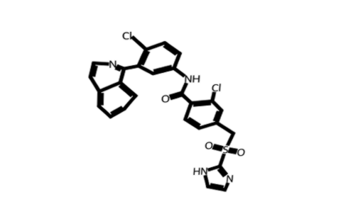 O=C(Nc1ccc(Cl)c(-c2nccc3ccccc23)c1)c1ccc(CS(=O)(=O)c2ncc[nH]2)cc1Cl